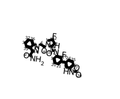 NC(=O)c1nn(CC(=O)N2C[C@H](F)C[C@H]2C(=O)Nc2cccc(-c3ccc4oc(=O)[nH]c4c3)c2F)c2ccccc12